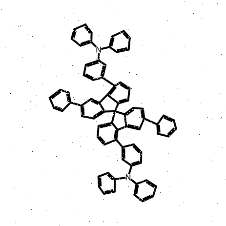 c1ccc(-c2ccc3c(c2)-c2c(-c4cccc(N(c5ccccc5)c5ccccc5)c4)cccc2C32c3ccc(-c4ccccc4)cc3-c3c(-c4cccc(N(c5ccccc5)c5ccccc5)c4)cccc32)cc1